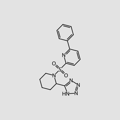 O=S(=O)(c1cccc(-c2ccccc2)n1)N1CCCCC1c1nnn[nH]1